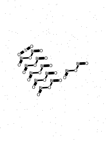 [O]=[Bi][O][Bi]=[O].[O]=[Bi][O][Bi]=[O].[O]=[Bi][O][Bi]=[O].[O]=[Bi][O][Bi]=[O].[O]=[Bi][O][Bi]=[O].[O]=[Bi][O][Bi]=[O].[O]=[Ti]=[O]